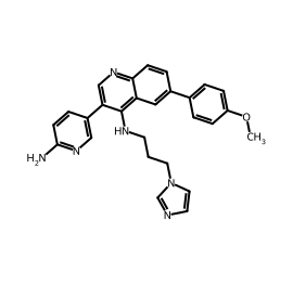 COc1ccc(-c2ccc3ncc(-c4ccc(N)nc4)c(NCCCn4ccnc4)c3c2)cc1